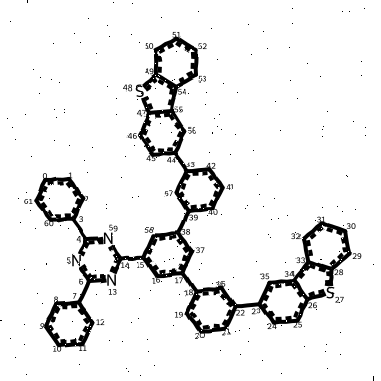 c1ccc(-c2nc(-c3ccccc3)nc(-c3cc(-c4cccc(-c5ccc6sc7ccccc7c6c5)c4)cc(-c4cccc(-c5ccc6sc7ccccc7c6c5)c4)c3)n2)cc1